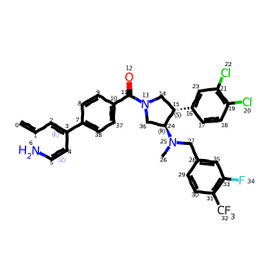 C=C/C=C(\C=C/N)c1ccc(C(=O)N2C[C@H](c3ccc(Cl)c(Cl)c3)[C@@H](N(C)Cc3ccc(C(F)(F)F)c(F)c3)C2)cc1